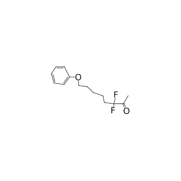 CC(=O)C(F)(F)CCCCCOc1ccccc1